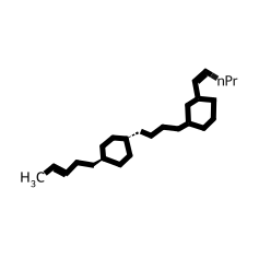 C/C=C/CC[C@H]1CC[C@H](CCCCC2CCCC(/C=C\CCC)C2)CC1